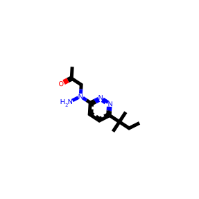 CCC(C)(C)c1ccc(N(N)CC(C)=O)nn1